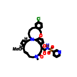 CO[C@H]1/C=C/CCN(C)C(=O)C[C@](O)(C(=O)NS(=O)(=O)c2cccnc2)c2ccc3c(c2)N(CCCCc2cc(Cl)ccc2CO3)C[C@@H]2CC[C@H]21